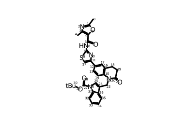 Cc1nc(C)c(C(=O)Nc2nc(-c3ccc4c(c3)CCC(=O)N4Cc3cn(C(=O)OC(C)(C)C)c4ccccc34)cs2)o1